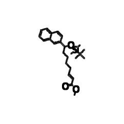 COC(=O)/C=C/CCCCC(O[Si](C)(C)C(C)(C)C)c1ccc2ccccc2c1